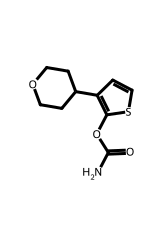 NC(=O)Oc1sccc1C1CCOCC1